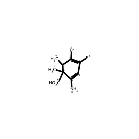 CC1C(Br)=C(F)C=C(N)C1(C)C(=O)O